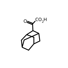 O=C(O)C(=O)C1C2CC3CC(C2)CC1C3